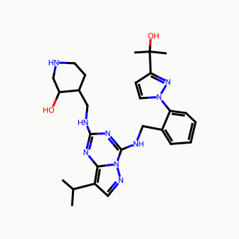 CC(C)c1cnn2c(NCc3ccccc3-n3ccc(C(C)(C)O)n3)nc(NCC3CCNCC3O)nc12